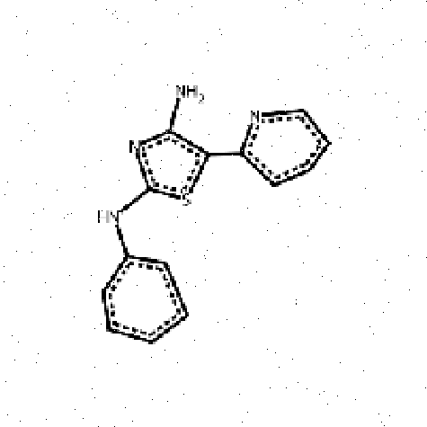 Nc1nc(Nc2ccccc2)sc1-c1ccccn1